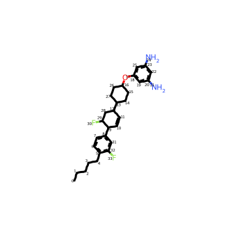 CCCCCc1ccc(C2C=CC(C3CCC(Oc4cc(N)cc(N)c4)CC3)CC2F)cc1F